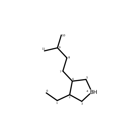 CCC1CBCC1CCC(C)C